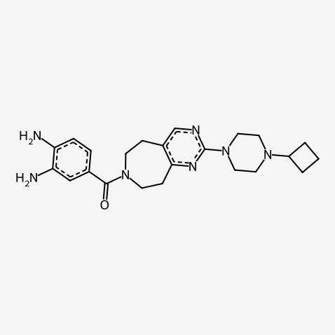 Nc1ccc(C(=O)N2CCc3cnc(N4CCN(C5CCC5)CC4)nc3CC2)cc1N